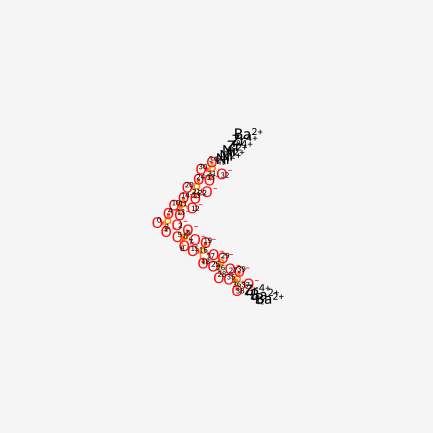 O=P([O-])([O-])[O-].O=P([O-])([O-])[O-].O=P([O-])([O-])[O-].O=P([O-])([O-])[O-].O=P([O-])([O-])[O-].O=P([O-])([O-])[O-].O=P([O-])([O-])[O-].O=P([O-])([O-])[O-].[Ba+2].[Ba+2].[Ba+2].[Ni+2].[Ni+2].[Ni+2].[Zr+4].[Zr+4].[Zr+4]